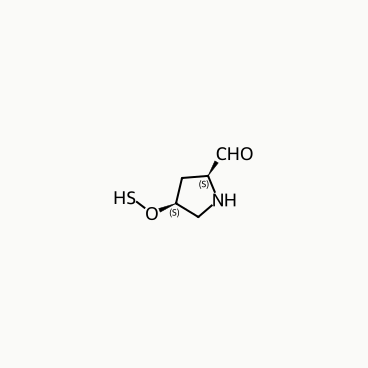 O=C[C@@H]1C[C@H](OS)CN1